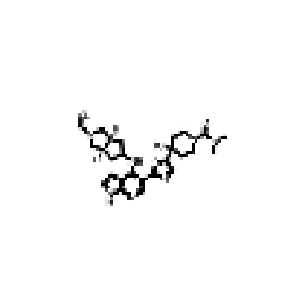 CN(C)C(=O)N1CCC(O)(c2cnc(-c3cnc4[nH]ccc4c3NC3C[C@@H]4CN(CC#N)C[C@@H]4C3)s2)CC1